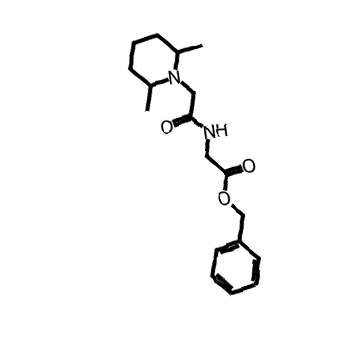 CC1CCCC(C)N1CC(=O)NCC(=O)OCc1ccccc1